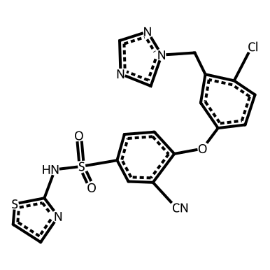 N#Cc1cc(S(=O)(=O)Nc2nccs2)ccc1Oc1ccc(Cl)c(Cn2cncn2)c1